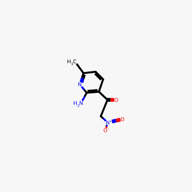 Cc1ccc(C(=O)C[N+](=O)[O-])c(N)n1